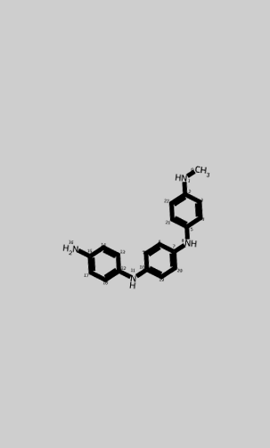 CNc1ccc(Nc2ccc(Nc3ccc(N)cc3)cc2)cc1